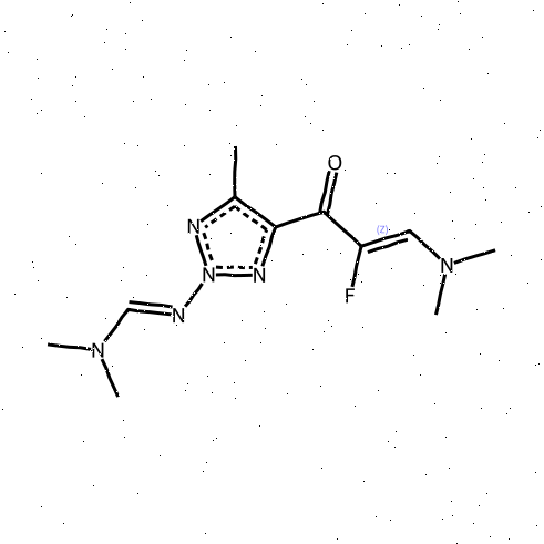 Cc1nn(N=CN(C)C)nc1C(=O)/C(F)=C/N(C)C